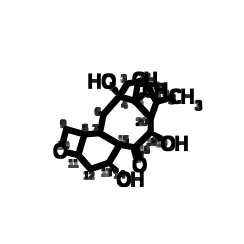 CC1CC[C@@]2(O)CC3C4COC4C[C@H](O)C3C(=O)[C@H](O)C1C2(C)C